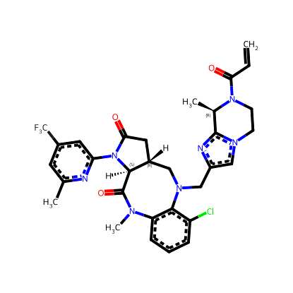 C=CC(=O)N1CCn2cc(CN3C[C@H]4CC(=O)N(c5cc(C(F)(F)F)cc(C)n5)[C@@H]4C(=O)N(C)c4cccc(Cl)c43)nc2[C@H]1C